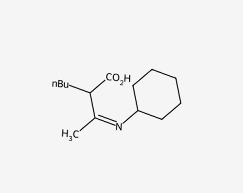 CCCCC(C(=O)O)C(C)=NC1CCCCC1